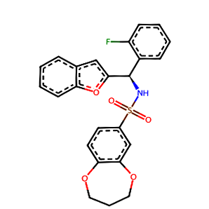 O=S(=O)(N[C@@H](c1cc2ccccc2o1)c1ccccc1F)c1ccc2c(c1)OCCCO2